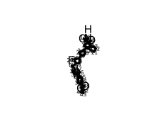 CC(c1ccc(-c2ccc(-c3cc4c(=O)[nH]oc4c4c3CCC=C4)cc2)cc1F)N1CCN(c2ccc(C(=O)OC(C)(C)C)cc2)CC1